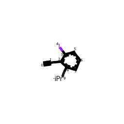 C#Cc1c(I)cccc1[C](C)C